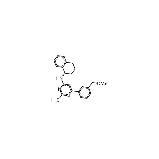 COCc1cccc(-c2cc(N[C@@H]3CCCc4ccccc43)nc(C)n2)c1